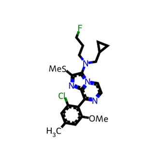 COc1cc(C)cc(Cl)c1-c1nccn2c(N(CCCF)CC3CC3)c(SC)nc12